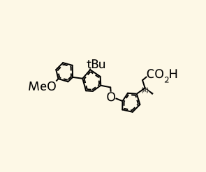 COc1cccc(-c2ccc(COc3cccc([C@H](C)CC(=O)O)c3)cc2C(C)(C)C)c1